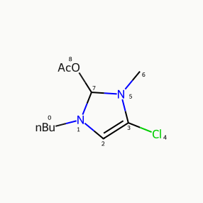 CCCCN1C=C(Cl)N(C)C1OC(C)=O